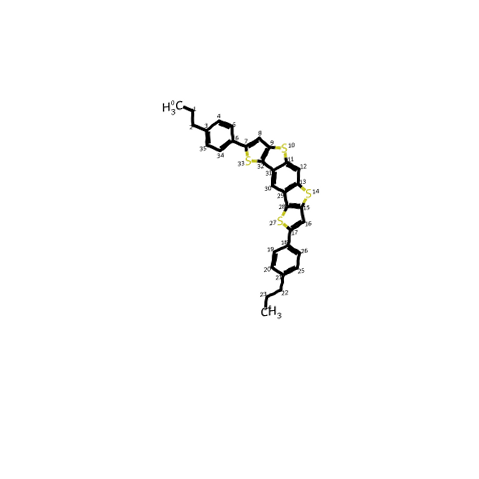 CCCc1ccc(-c2cc3sc4cc5sc6cc(-c7ccc(CCC)cc7)sc6c5cc4c3s2)cc1